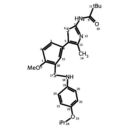 COc1ccc(-c2sc(NC(=O)C(C)(C)C)nc2C)cc1SNc1ccc(OC(C)C)cc1